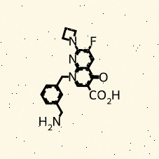 NCc1cccc(Cn2cc(C(=O)O)c(=O)c3cc(F)c(N4CCC4)nc32)c1